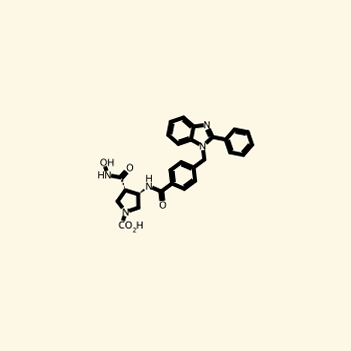 O=C(N[C@@H]1CN(C(=O)O)C[C@@H]1C(=O)NO)c1ccc(Cn2c(-c3ccccc3)nc3ccccc32)cc1